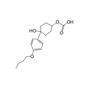 CCCCOc1ccc(C2(O)CCC(OC(=O)O)CC2)cc1